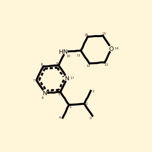 CC(C)C(C)c1nccc(NC2CCOCC2)n1